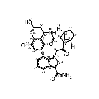 NC(=O)c1nn(CC(=O)N2[C@@H]3CC[C@@H](C3)[C@H]2C(=O)NC(CCO)c2cccc(Cl)c2F)c2ccccc12